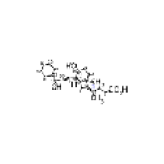 C/C(CCC(=O)O)=C1\C[C@H]2[C@H](C#CC(O)C3CCCCC3)[C@@H](O)CC[C@@]12C